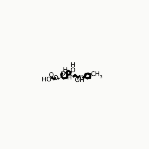 Cc1ccc(OC[C@H](O)C=C[C@@H]2[C@H]3CC[C@H](COCC(=O)O)CO[C@H]3C[C@H]2O)cc1